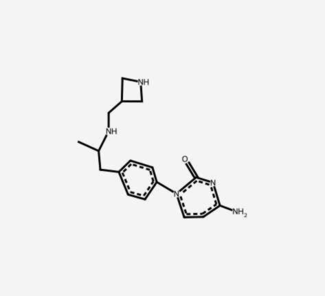 CC(Cc1ccc(-n2ccc(N)nc2=O)cc1)NCC1CNC1